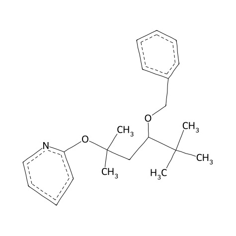 CC(C)(CC(OCc1ccccc1)C(C)(C)C)Oc1ccccn1